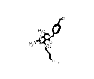 CCCCNc1nc(N)nc2c(C)cn(Cc3ccc(CCl)cc3)c(=O)c12